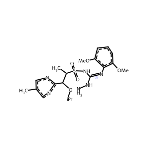 COc1cccc(OC)c1/N=C(/NN)NS(=O)(=O)C(C)C(OC(C)C)c1ncc(C)cn1